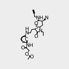 C#CCNC(=O)C(C#N)CC1SC(CCNc2cccc(NC(=O)COC(C)=O)c2)C(=O)N1CC